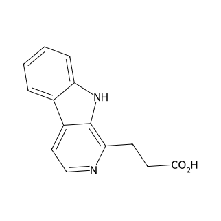 O=C(O)CCc1nccc2c1[nH]c1ccccc12